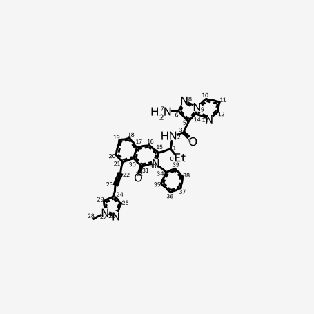 CCC(NC(=O)c1c(N)nn2cccnc12)c1cc2cccc(C#Cc3cnn(C)c3)c2c(=O)n1-c1ccccc1